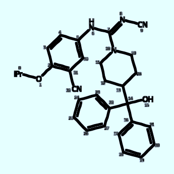 CC(C)Oc1ccc(N/C(=N/C#N)N2CCC(C(O)(c3ccccc3)c3ccccc3)CC2)cc1C#N